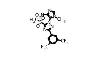 Cn1cnc([N+](=O)[O-])c1-n1nc(-c2cc(C(F)(F)F)cc(C(F)(F)F)c2)nc1S(C)(=O)=O